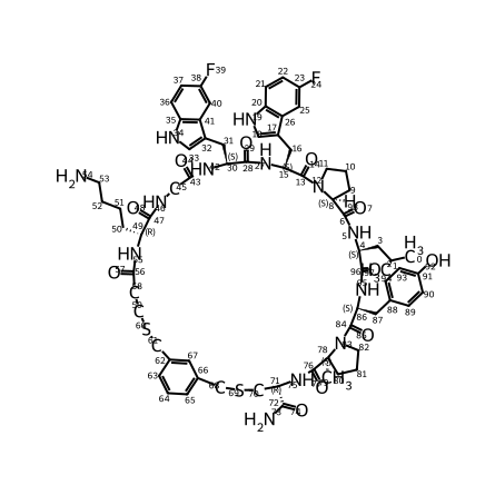 CC(C)C[C@@H]1NC(=O)[C@@H]2CCCN2C(=O)[C@H](Cc2c[nH]c3ccc(F)cc23)NC(=O)[C@H](Cc2c[nH]c3ccc(F)cc23)NC(=O)CNC(=O)[C@@H](CCCCN)NC(=O)CCSCc2cccc(c2)CSC[C@@H](C(N)=O)NC(=O)[C@]2(C)CCCN2C(=O)[C@H](Cc2ccc(O)cc2)NC1=O